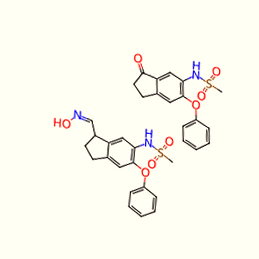 CS(=O)(=O)Nc1cc2c(cc1Oc1ccccc1)CCC2/C=N\O.CS(=O)(=O)Nc1cc2c(cc1Oc1ccccc1)CCC2=O